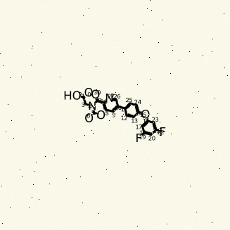 O=C(O)Cn1c(=O)oc2cc(-c3ccc(Oc4cc(F)cc(F)c4)cc3)cnc2c1=O